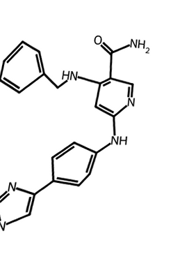 NC(=O)c1cnc(Nc2ccc(-c3c[nH]cn3)cc2)cc1NCc1ccccc1